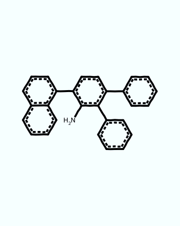 Nc1c(-c2cccc3ccccc23)ccc(-c2ccccc2)c1-c1ccccc1